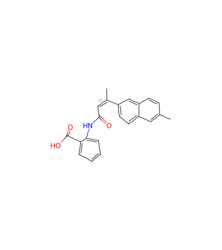 C/C(=C/C(=O)Nc1ccccc1C(=O)O)c1ccc2cc(C)ccc2c1